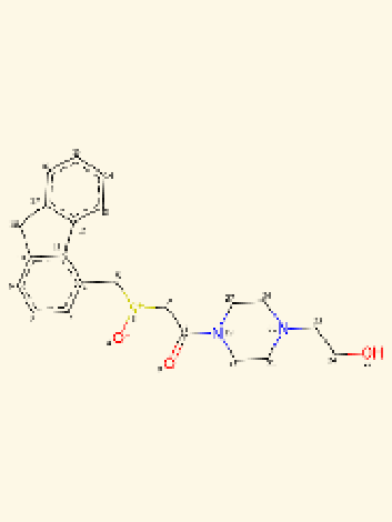 O=C(C[S+]([O-])Cc1cccc2c1-c1ccccc1C2)N1CCN(CCO)CC1